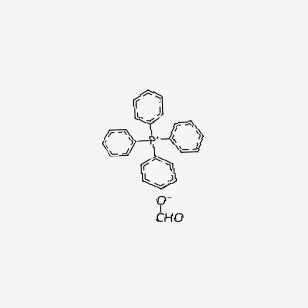 O=C[O-].c1ccc([P+](c2ccccc2)(c2ccccc2)c2ccccc2)cc1